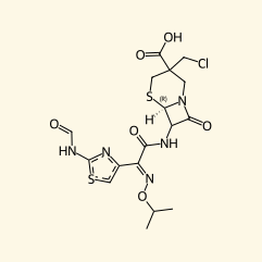 CC(C)ON=C(C(=O)NC1C(=O)N2CC(CCl)(C(=O)O)CS[C@H]12)c1csc(NC=O)n1